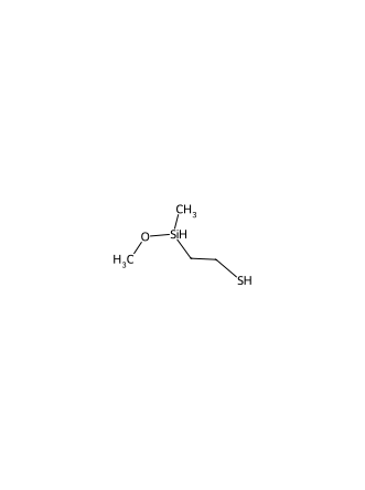 CO[SiH](C)CCS